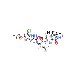 COc1cc(Cl)c2[nH]c(C(=O)N[C@@H](CC3CC3)C(=O)N[C@H](C#N)C[C@@H]3CC(C)(C)NC3=O)cc2c1